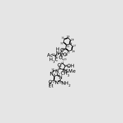 CCOc1nc(N)nc2c1ncn2[C@@H]1O[C@H](COP(=O)(N[C@@H](C)C(C)=O)Oc2cccc3ccccc23)[C@@H](O)[C@@]1(C)SC